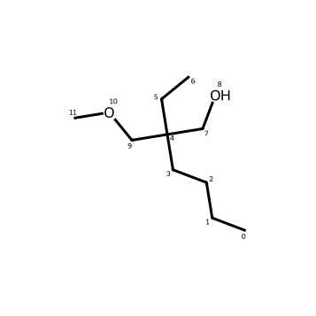 CCCCC(CC)(CO)COC